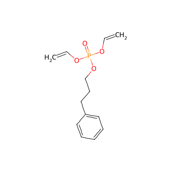 C=COP(=O)(OC=C)OCCCc1ccccc1